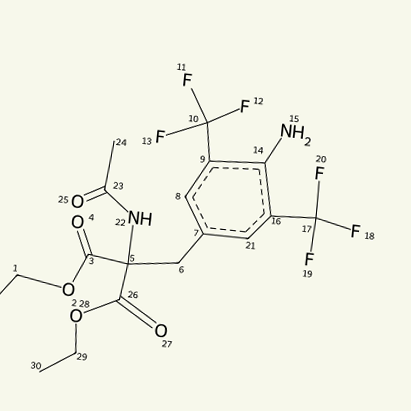 CCOC(=O)C(Cc1cc(C(F)(F)F)c(N)c(C(F)(F)F)c1)(NC(C)=O)C(=O)OCC